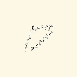 CCCCCCCCCCN(C)CCCCCCC(C)C.CCCCCCCCCCNC